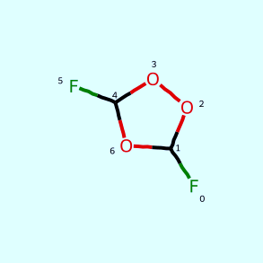 FC1OOC(F)O1